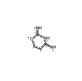 N=c1ccoc(=N)[nH]1